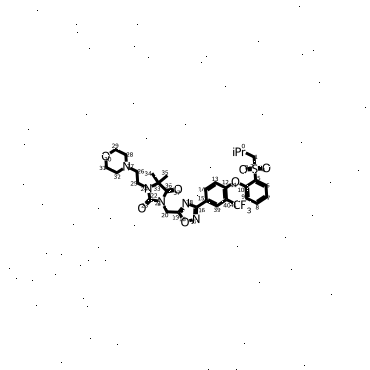 CC(C)CS(=O)(=O)c1ccccc1Oc1ccc(-c2noc(CN3C(=O)N(CCN4CCOCC4)C(C)(C)C3=O)n2)cc1C(F)(F)F